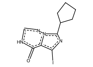 O=c1[nH]cnn2c(C3CCCC3)nc(I)c12